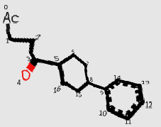 CC(=O)CCC(=O)C1CCC(c2ccccc2)CC1